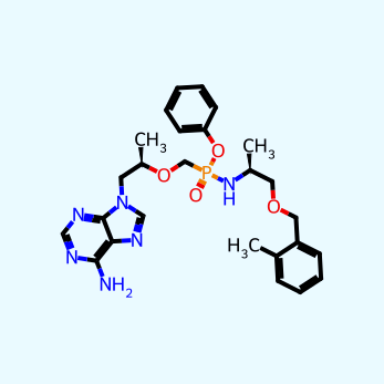 Cc1ccccc1COC[C@H](C)NP(=O)(CO[C@H](C)Cn1cnc2c(N)ncnc21)Oc1ccccc1